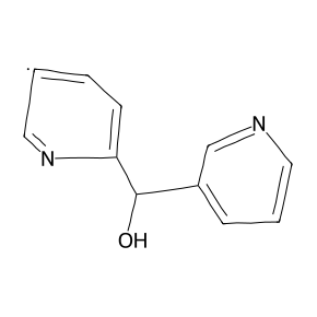 OC(c1cccnc1)c1cc[c]cn1